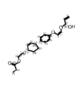 C=C[C@H](O)O/C=C\Oc1ccc([C@H]2C=C[C@@H](O/C=C\OC(=O)CC)CC2)cc1